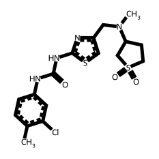 Cc1ccc(NC(=O)Nc2nc(CN(C)C3CCS(=O)(=O)C3)cs2)cc1Cl